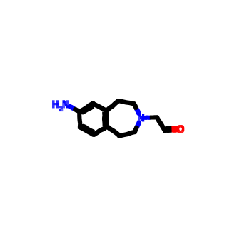 Nc1ccc2c(c1)CCN(CC=O)CC2